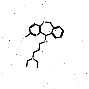 CCN(CC)CCCNC1c2ccccc2COc2ccc(C)cc21